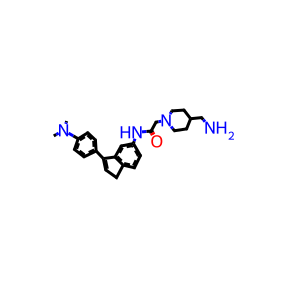 CN(C)c1ccc(C2=CCc3ccc(NC(=O)CN4CCC(CN)CC4)cc32)cc1